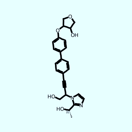 C[C@H](O)c1nccn1C(C#Cc1ccc(-c2ccc(OC3COCC3O)cc2)cc1)CO